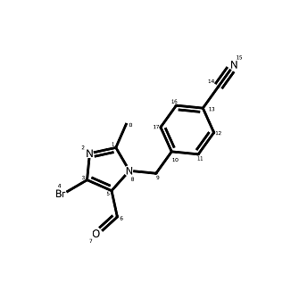 Cc1nc(Br)c(C=O)n1Cc1ccc(C#N)cc1